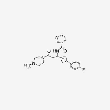 CN1CCN(C(=O)CC(NC(=O)c2cccnc2)C23CC(c4ccc(F)cc4)(C2)C3)CC1